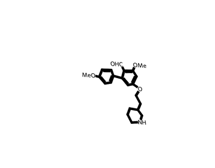 COc1ccc(-c2cc(OCCC3CCCNC3)cc(OC)c2C=O)cc1